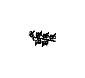 C/C=C/C(=O)C1C(C)=C(C(CCC)CCC(CCC(CCC(CCC(CCC(CCCC)C2=C(C)C(C(=O)/C=C/C)C(C)(C)CC2)C2=C(C)C(C(=O)/C=C/C)C(C)(C)CC2)C2=C(C)C(C(=O)/C=C/C)C(C)(C)CC2)C2=C(C)C(C(=O)/C=C/C)C(C)(C)CC2)C2=C(C)C(C(=O)/C=C/C)C(C)(C)CC2)CCC1(C)C